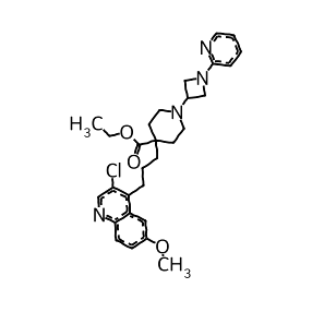 CCOC(=O)C1(CCCc2c(Cl)cnc3ccc(OC)cc23)CCN(C2CN(c3ccccn3)C2)CC1